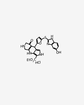 CCOC(=O)c1[nH]cc2c1NC1=C(C(=O)CNC1)C2c1ccc(Sc2nc3cc(O)ccc3[nH]2)o1.Cl